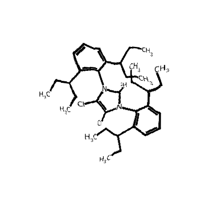 [2H]C1N(c2c(C(CC)CC)cccc2C(CC)CC)C(Cl)=C(Cl)N1c1c(C(CC)CC)cccc1C(CC)CC